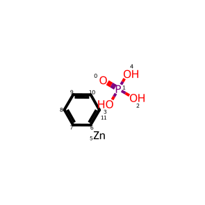 O=P(O)(O)O.[Zn].c1ccccc1